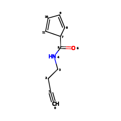 C#CCCNC(=O)C1C=CC=C1